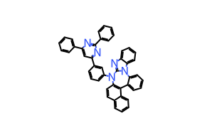 c1ccc(-c2cc(-c3cccc(N4c5ccc6ccccc6c5-c5ccccc5-n5c4nc4ccccc45)c3)nc(-c3ccccc3)n2)cc1